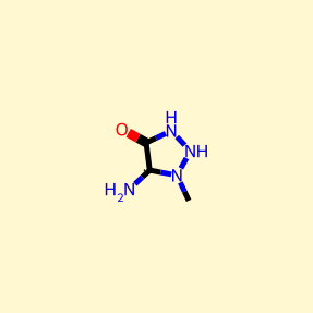 CN1NNC(=O)[C]1N